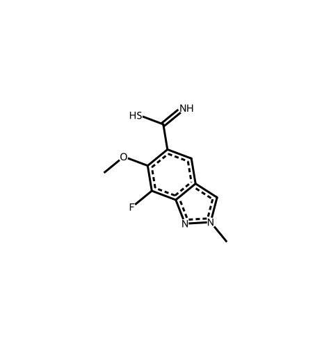 COc1c(C(=N)S)cc2cn(C)nc2c1F